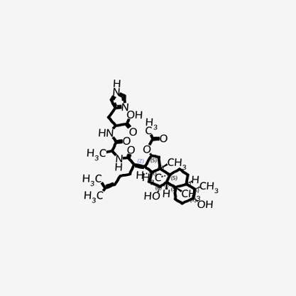 CC(=O)O[C@H]1C[C@@]2(C)[C@@H](C[C@@H](O)[C@H]3[C@@]4(C)CC[C@@H](O)[C@@H](C)[C@@H]4CC[C@@]32C)/C1=C(\CCC=C(C)C)C(=O)NC(C)C(=O)NC(Cc1c[nH]cn1)C(=O)O